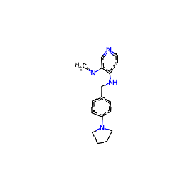 C=Nc1cnccc1NCc1ccc(N2CCCC2)cc1